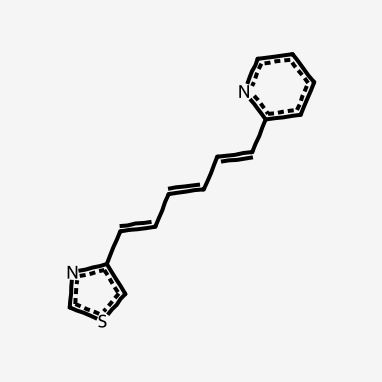 C(=C\C=C\c1cscn1)/C=C/c1ccccn1